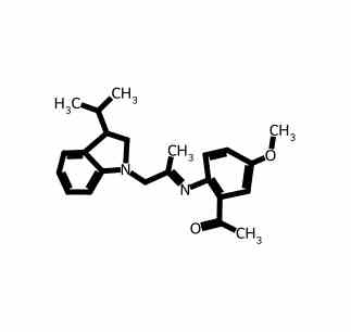 COc1ccc(/N=C(\C)CN2CC(C(C)C)c3ccccc32)c(C(C)=O)c1